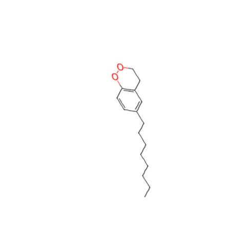 CCCCCCCCc1ccc2c(c1)CCOO2